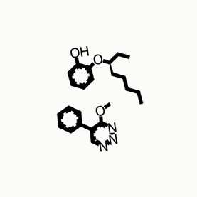 CCCCC[C@H](CC)Oc1ccccc1O.COc1nnncc1-c1ccccc1